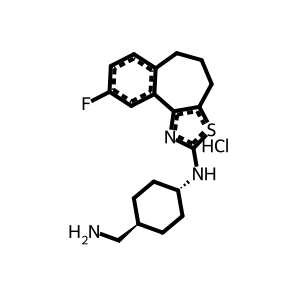 Cl.NC[C@H]1CC[C@H](Nc2nc3c(s2)CCCc2ccc(F)cc2-3)CC1